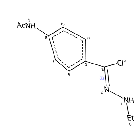 CCN/N=C(\Cl)c1ccc(NC(C)=O)cc1